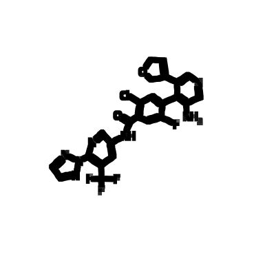 Nc1cncc(C2=CCOC2)c1-c1cc(Cl)c(C(=O)Nc2cnc(-n3nccn3)c(C(F)(F)F)c2)cc1F